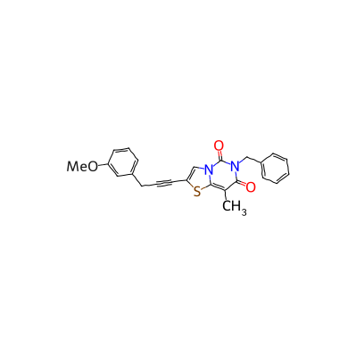 COc1cccc(CC#Cc2cn3c(=O)n(Cc4ccccc4)c(=O)c(C)c3s2)c1